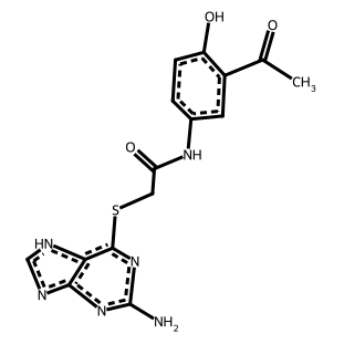 CC(=O)c1cc(NC(=O)CSc2nc(N)nc3nc[nH]c23)ccc1O